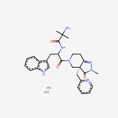 CN1N=C2CCN(C(=O)C(Cc3c[nH]c4ccccc34)NC(=O)C(C)(C)N)C[C@]2(Cc2ccccn2)C1=O.Cl.Cl